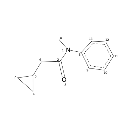 CN(C(=O)CC1CC1)c1ccccc1